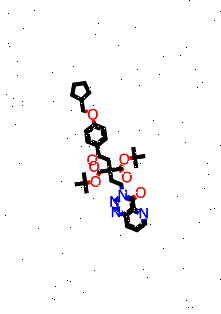 CC(C)(C)OC(=O)C(CCn1nnc2cccnc2c1=O)(CC(=O)c1ccc(OCC2CCCC2)cc1)C(=O)OC(C)(C)C